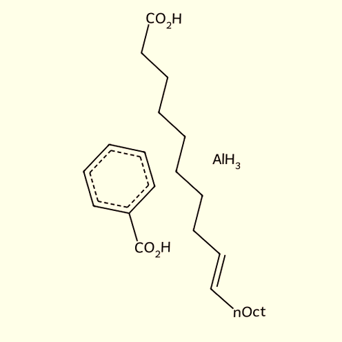 CCCCCCCCC=CCCCCCCCC(=O)O.O=C(O)c1ccccc1.[AlH3]